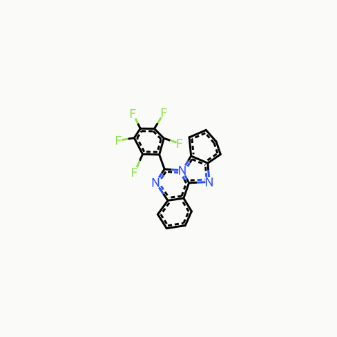 Fc1c(F)c(F)c(-c2nc3ccccc3c3nc4ccccc4n23)c(F)c1F